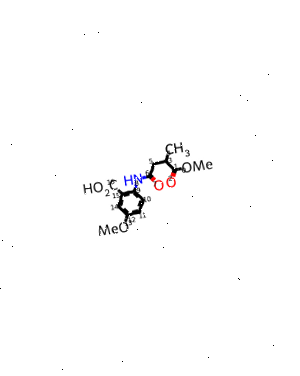 COC(=O)C(C)CC(=O)Nc1ccc(OC)cc1C(=O)O